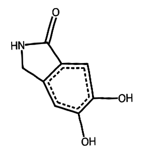 O=C1NCc2cc(O)c(O)cc21